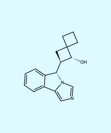 O[C@@H]1[C@@H]([C@H]2c3ccccc3-c3cncn32)CC12CCC2